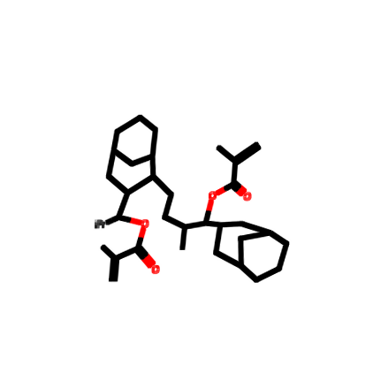 C=C(C)C(=O)OC(C(C)CCC1C2CCCC(C2)CC1C(OC(=O)C(=C)C)C(C)C)C1CC2CCCC(C2)C1